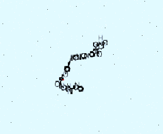 O=C1CCC(N2Cc3cc(N4CCC(N5CCN(CC#Cc6ccc(OCC78CC(C(=O)N9CCc%10cnc(-c%11cnc%12ccccc%12c%11)nc%10C9)(C7)C8)cc6)CC5)CC4)ccc3C2=O)C(=O)N1